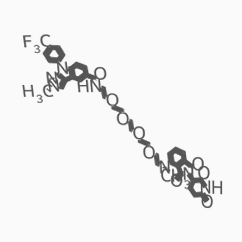 CN(CCOCCOCCOCCOCCNC(=O)c1ccc2c(c1)c1cn(C)nc1n2-c1ccc(C(F)(F)F)cc1)c1cccc2c1C(=O)N(C1CCC(=O)NC1=O)C2=O